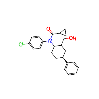 O=C(C1CC1)N(c1ccc(Cl)cc1)C1CC[C@H](c2ccccc2)CC1CO